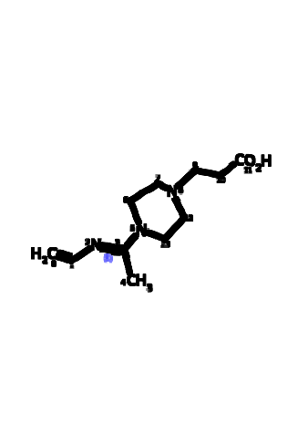 C=C/N=C(\C)N1CCN(CCC(=O)O)CC1